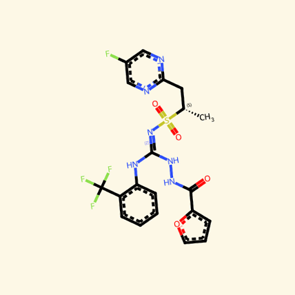 C[C@@H](Cc1ncc(F)cn1)S(=O)(=O)/N=C(\NNC(=O)c1ccco1)Nc1ccccc1C(F)(F)F